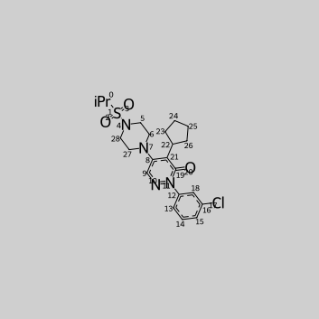 CC(C)S(=O)(=O)N1CCN(c2cnn(-c3cccc(Cl)c3)c(=O)c2C2CCCC2)CC1